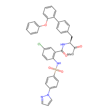 COC(=O)[C@H](Cc1ccc(-c2ccccc2Oc2ccccc2)cc1)NC(=O)c1cc(Cl)ccc1NS(=O)(=O)c1ccc(-n2cccn2)cc1